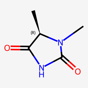 C[C@@H]1C(=O)NC(=O)N1C